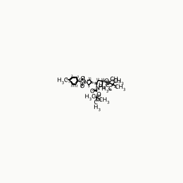 Cc1ccc(S(=O)(=O)N2CC([C@@H]3C[C@@H](O[Si](C)(C)C(C)(C)C)CN3C(=O)OC(C)(C)C)C2)cc1